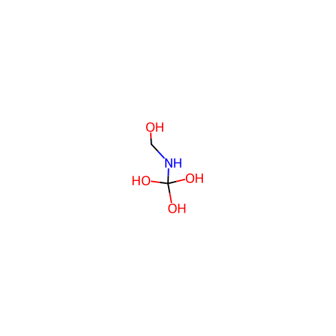 OCNC(O)(O)O